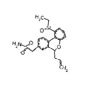 C=CCC1Oc2cccc([S+]([O-])CC)c2-c2ccc(CS(N)(=O)=O)cc21